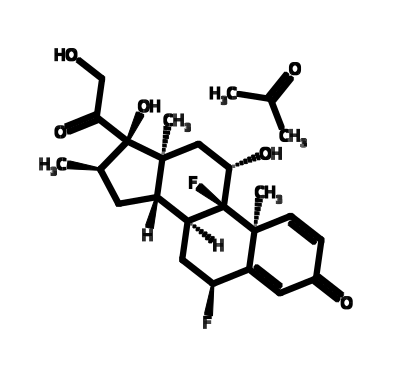 CC(C)=O.C[C@@H]1C[C@H]2[C@@H]3C[C@H](F)C4=CC(=O)C=C[C@]4(C)[C@@]3(F)[C@@H](O)C[C@]2(C)[C@@]1(O)C(=O)CO